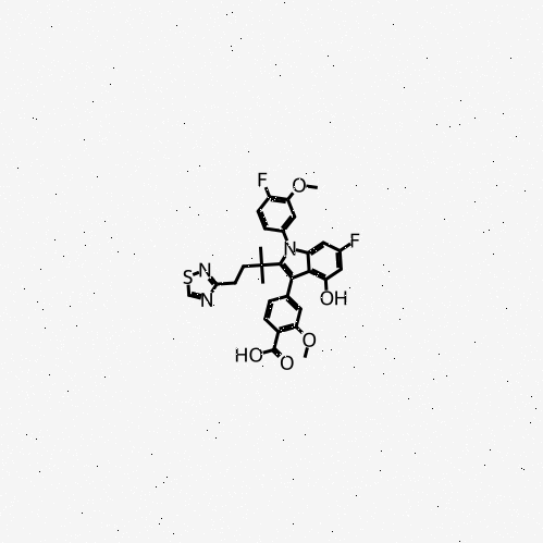 COc1cc(-n2c(C(C)(C)CCc3ncsn3)c(-c3ccc(C(=O)O)c(OC)c3)c3c(O)cc(F)cc32)ccc1F